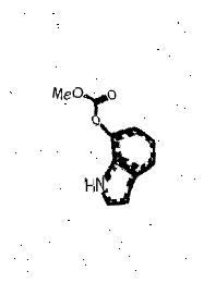 COC(=O)Oc1cccc2cc[nH]c12